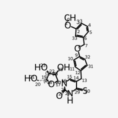 COc1cccc(COc2ccc(Cc3cn([C@@H]4O[C@H](CO)[C@@H](O)[C@H]4O)c(=O)[nH]c3=S)cc2)c1